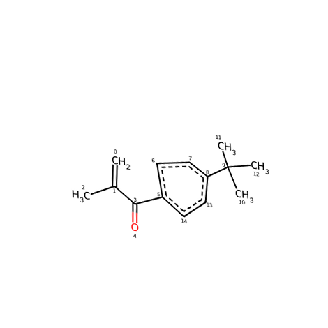 C=C(C)C(=O)c1ccc(C(C)(C)C)cc1